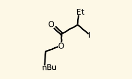 CCCCCOC(=O)C(I)CC